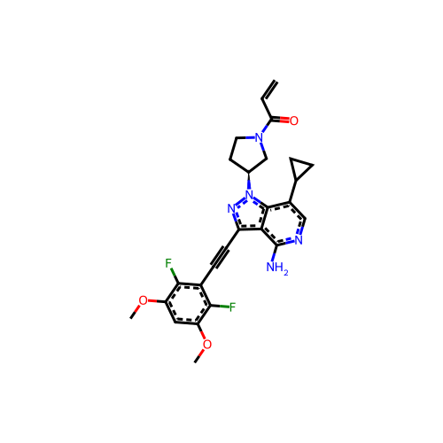 C=CC(=O)N1CC[C@H](n2nc(C#Cc3c(F)c(OC)cc(OC)c3F)c3c(N)ncc(C4CC4)c32)C1